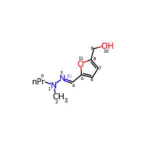 CCCN(C)/N=C/c1ccc(CO)o1